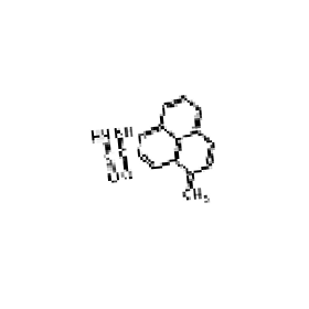 C=c1ccc2cccc3cccc1c32.N=C=O.N=C=O